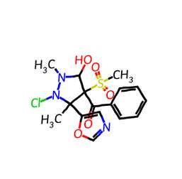 CN1C(O)C(C(=O)c2ccccc2)(S(C)(=O)=O)C(C)(c2cnco2)N1Cl